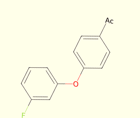 CC(=O)c1ccc(Oc2cccc(F)c2)cc1